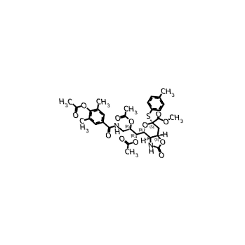 COC(=O)[C@@]1(Sc2ccc(C)cc2)C[C@@H]2OC(=O)N[C@H]2[C@H]([C@H](OC(C)=O)[C@@H](CNC(=O)c2cc(C)c(OC(C)=O)c(C)c2)OC(C)=O)O1